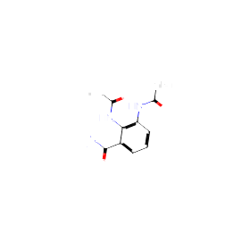 CCCCC(=O)Nc1cccc(C(N)=O)c1NC(=O)CCCC